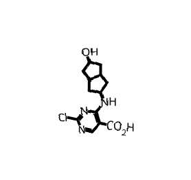 O=C(O)c1cnc(Cl)nc1NC1CC2CC(O)CC2C1